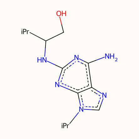 CC(C)C(CO)Nc1nc(N)c2ncn(C(C)C)c2n1